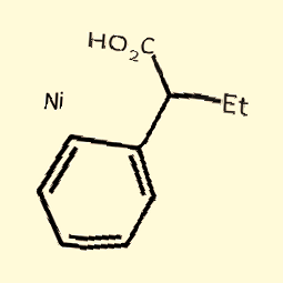 CCC(C(=O)O)c1ccccc1.[Ni]